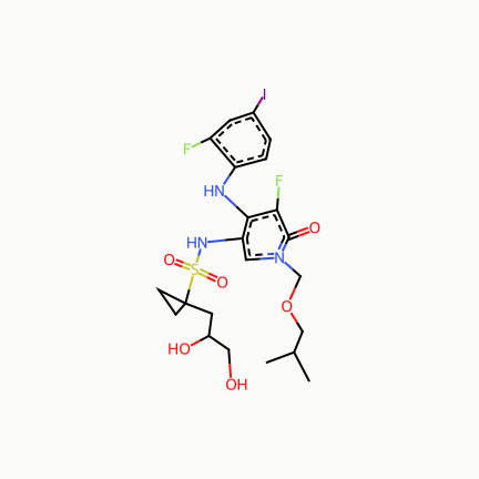 CC(C)COCn1cc(NS(=O)(=O)C2(CC(O)CO)CC2)c(Nc2ccc(I)cc2F)c(F)c1=O